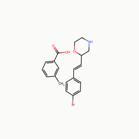 Brc1ccc(C=CC2CNCCO2)cc1.Cc1cccc(C(=O)O)c1